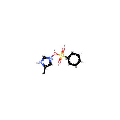 Cc1cn(OS(=O)(=O)c2ccccc2)cn1